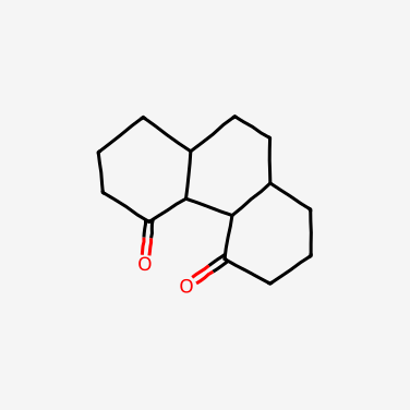 O=C1CCCC2CCC3CCCC(=O)C3C12